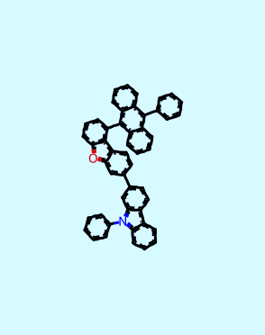 c1ccc(-c2c3ccccc3c(-c3cccc4oc5cc(-c6ccc7c8ccccc8n(-c8ccccc8)c7c6)ccc5c34)c3ccccc23)cc1